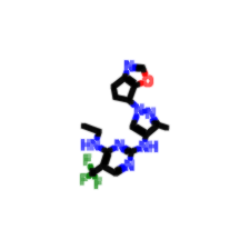 CCNc1nc(Nc2cn(C3CCc4ncoc43)nc2C)ncc1C(F)(F)F